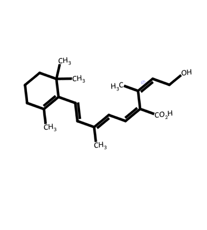 CC(C=CC1=C(C)CCCC1(C)C)=CC=C(C(=O)O)/C(C)=C\CO